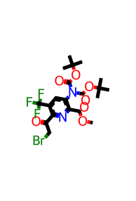 COC(=O)c1nc(C(=O)CBr)c(C(F)(F)F)cc1N(C(=O)OC(C)(C)C)C(=O)OC(C)(C)C